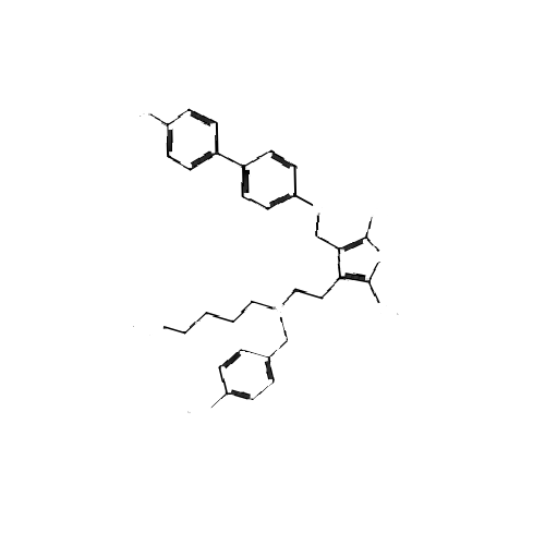 Cc1sc(C)c(COc2ccc(-c3ccc(C(C)(C)C)cc3)cc2)c1CCN(CCCCC(=O)O)Cc1ccc(C(=O)O)cc1